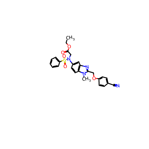 CCOC(=O)CN(c1ccc2c(c1)nc(COc1ccc(C#N)cc1)n2C)S(=O)(=O)c1ccccc1